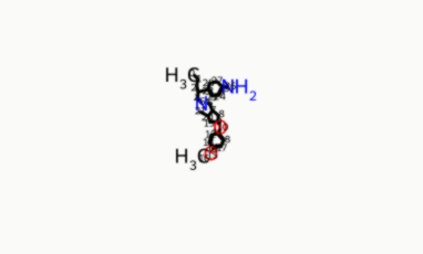 CCCC(CN1CC2CC(Oc3ccc(OC)cc3)CC2C1)C1=CC=C(N)CC1